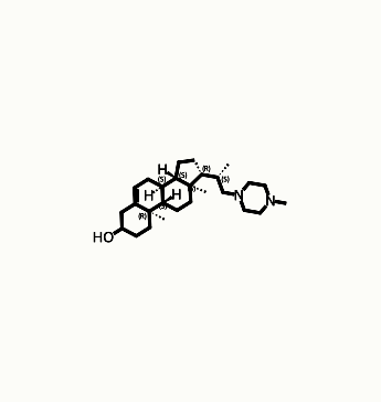 C[C@H](CN1CCN(C)CC1)[C@H]1CC[C@H]2[C@@H]3CC=C4CC(O)CC[C@]4(C)[C@H]3CC[C@]12C